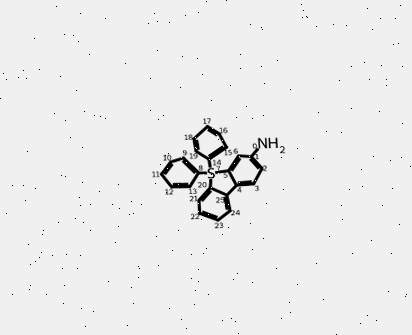 Nc1ccc2c(c1)S(c1ccccc1)(c1ccccc1)c1ccccc1-2